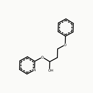 OC(CCOc1ccccc1)Oc1ccccn1